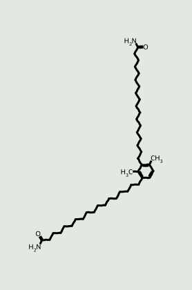 Cc1ccc(CCCCCCCCCCCCCCCCCC(N)=O)c(C)c1CCCCCCCCCCCCCCCCCC(N)=O